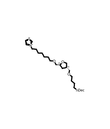 CCCCCCCCCCCCCCOC[C@H]1CO[C@H](COCCCCCCC[n+]2ccsc2)C1